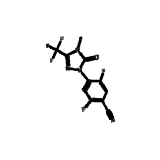 Cn1c(C(F)(F)F)nn(-c2cc(F)c(C#N)cc2F)c1=O